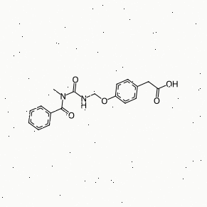 CN(C(=O)NCOc1ccc(CC(=O)O)cc1)C(=O)c1ccccc1